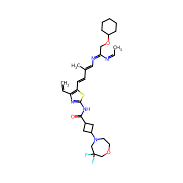 C=Cc1nc(NC(=O)C2CC(N3CCOCC(F)(F)C3)C2)sc1/C=C/C(C)=C/N=C(COC1CCCCC1)\N=C/C